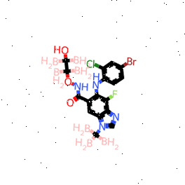 BC(B)(B)n1cnc2c(F)c(Nc3ccc(Br)cc3Cl)c(C(=O)NOC(B)(B)C(B)(B)O)cc21